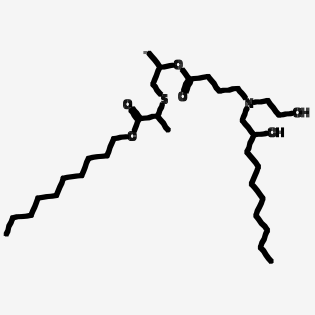 [CH2]C(CSC(C)C(=O)OCCCCCCCCCC)OC(=O)CCCN(CCO)CC(O)CCCCCCCC